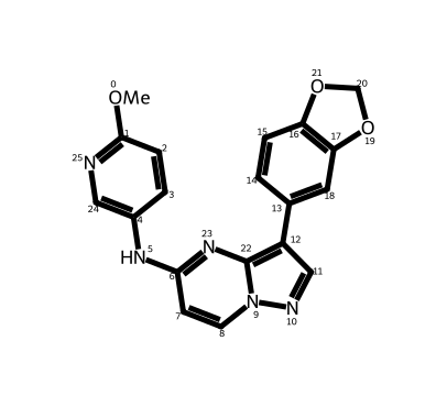 COc1ccc(Nc2ccn3ncc(-c4ccc5c(c4)OCO5)c3n2)cn1